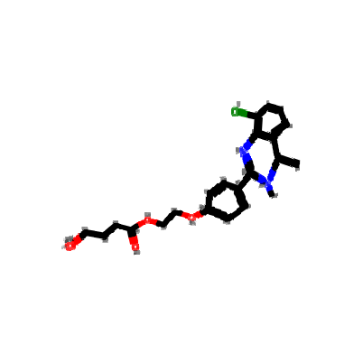 CC1c2cccc(Cl)c2N=C(c2ccc(OCCOC(=O)CCC[O])cc2)N1C